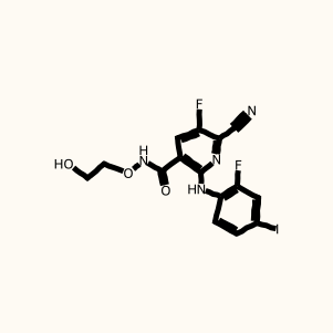 N#Cc1nc(Nc2ccc(I)cc2F)c(C(=O)NOCCO)cc1F